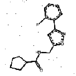 O=C(NCc1cc(-c2ccccc2F)no1)C1CCCC1